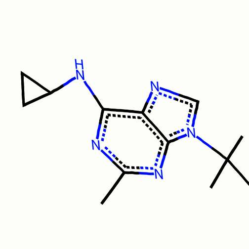 Cc1nc(NC2CC2)c2ncn(C(C)(C)C)c2n1